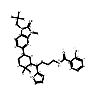 Cn1c(=O)n(CC(C)(C)C)c2ccc(C3CCC(C)(C)C(C(CCCNC(=O)c4ccccc4O)c4cccs4)C3)nc21